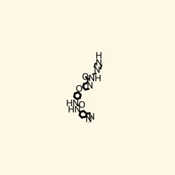 Cn1ncc2cc(NC(=O)Nc3ccc(Oc4ccnc(C(=O)NCCN5CCNCC5)c4)cc3)ccc21